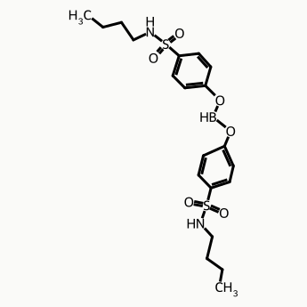 CCCCNS(=O)(=O)c1ccc(OBOc2ccc(S(=O)(=O)NCCCC)cc2)cc1